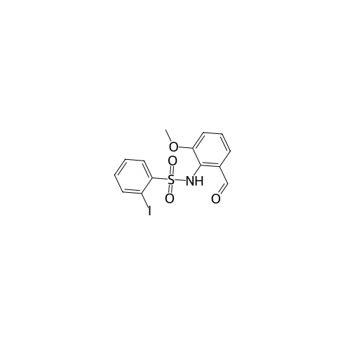 COc1cccc(C=O)c1NS(=O)(=O)c1ccccc1I